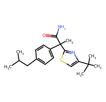 CC(C)Cc1ccc(C(C)(C(N)=O)c2nc(C(C)(C)C)cs2)cc1